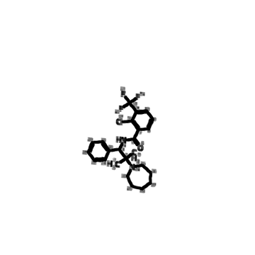 CC(C)(C(NC(=O)c1cccc(C(F)(F)F)c1Cl)c1ccccc1)N1CCCCCC1